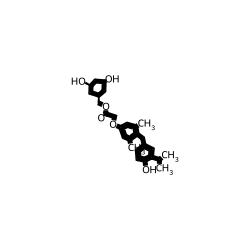 Cc1cc(OCC(=O)OC[C@@H]2C[C@H](O)C[C@H](O)C2)cc(C)c1Cc1ccc(O)c(C(C)C)c1